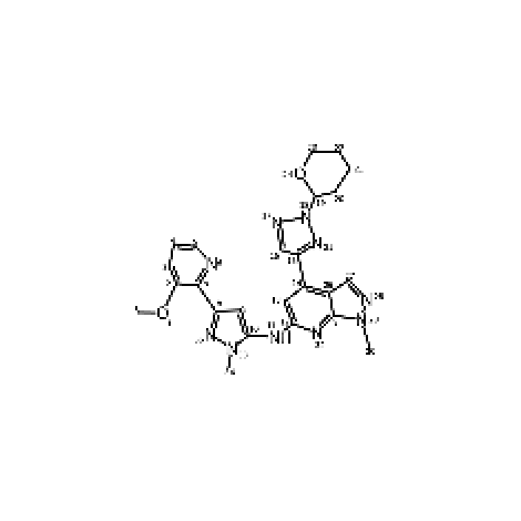 COc1cccnc1-c1cc(Nc2cc(-c3cnn(C4CCCCO4)n3)c3cnn(C)c3n2)n(C)n1